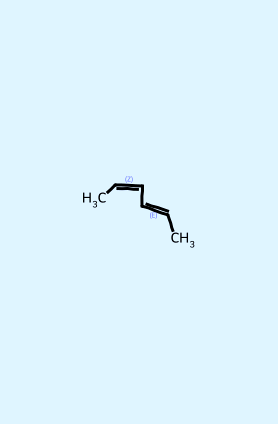 C/C=C\C=C\C